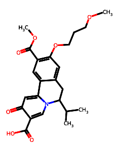 COCCCOc1cc2c(cc1C(=O)OC)-c1cc(=O)c(C(=O)O)cn1C(C(C)C)C2